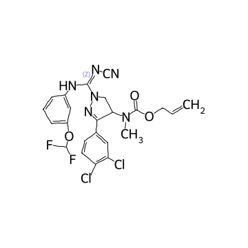 C=CCOC(=O)N(C)C1CN(/C(=N\C#N)Nc2cccc(OC(F)F)c2)N=C1c1ccc(Cl)c(Cl)c1